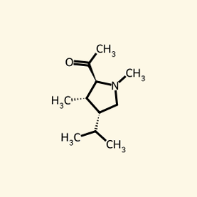 CC(=O)[C@@H]1[C@@H](C)[C@@H](C(C)C)CN1C